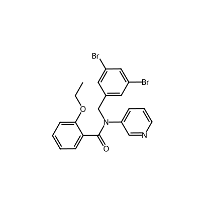 CCOc1ccccc1C(=O)N(Cc1cc(Br)cc(Br)c1)c1cccnc1